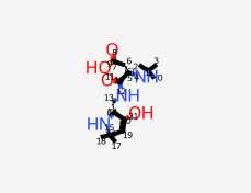 CC(C)(C)N[C@@H](CC(=O)O)C(=O)NC[C@H]1NC(C)(C)C=C1O